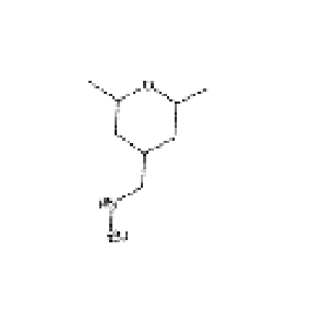 CC1CC(CNC(C)(C)C)CC(C)O1